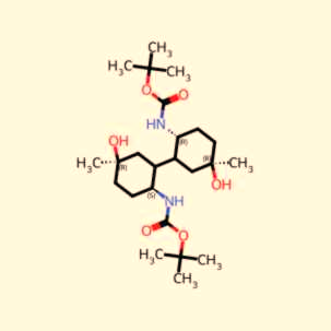 CC(C)(C)OC(=O)N[C@H]1CC[C@@](C)(O)CC1C1C[C@](C)(O)CC[C@H]1NC(=O)OC(C)(C)C